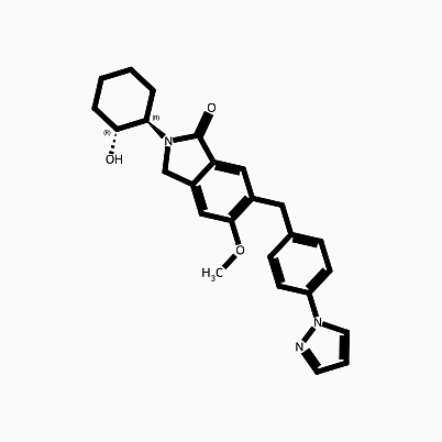 COc1cc2c(cc1Cc1ccc(-n3cccn3)cc1)C(=O)N([C@@H]1CCCC[C@H]1O)C2